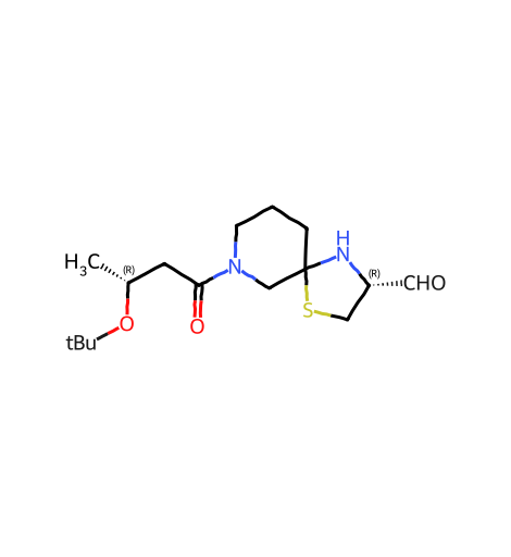 C[C@H](CC(=O)N1CCCC2(C1)N[C@H](C=O)CS2)OC(C)(C)C